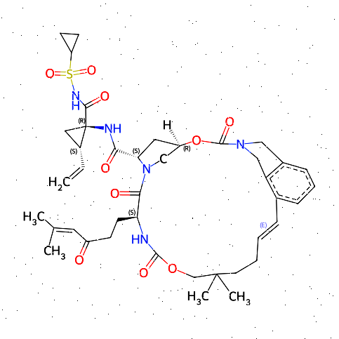 C=C[C@@H]1C[C@]1(NC(=O)[C@@H]1C[C@@H]2CN1C(=O)[C@H](CCC(=O)C=C(C)C)NC(=O)OCC(C)(C)CC/C=C/c1cccc3c1CN(C3)C(=O)O2)C(=O)NS(=O)(=O)C1CC1